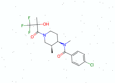 C[C@H]1CN(C(=O)C(C)(O)C(F)(F)F)CC[C@H]1N(C)C(=O)c1ccc(Cl)cc1